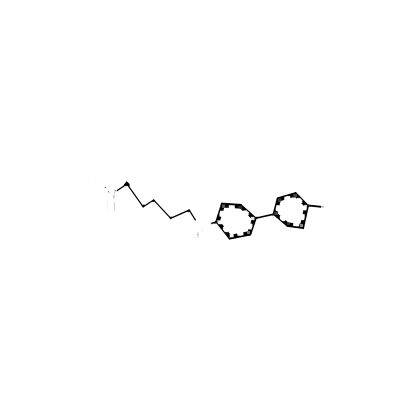 O=C(CCCC[S+]([O-])c1ccc(-c2ccc(Cl)cc2)cc1)NO